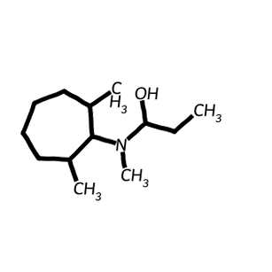 CCC(O)N(C)C1C(C)CCCCC1C